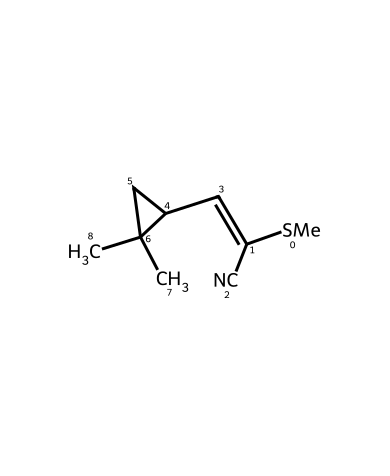 CSC(C#N)=CC1CC1(C)C